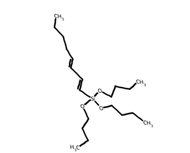 CCCC/C=C/C=C/[Si](OCCCC)(OCCCC)OCCCC